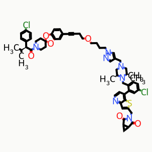 Cc1cc(Cl)cc(-c2ccnc3cc(CN4C(=O)C5CC5C4=O)sc23)c1CN1[C@@H](C)CN(Cc2cnn(CCCCOCCC#Cc3ccc4c(c3)OC3(CCN(C(=O)[C@H](c5ccc(Cl)cc5)C(C)C)CC3)O4)c2)C[C@@H]1C